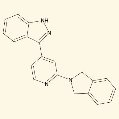 c1ccc2c(c1)CN(c1cc(-c3n[nH]c4ccccc34)ccn1)C2